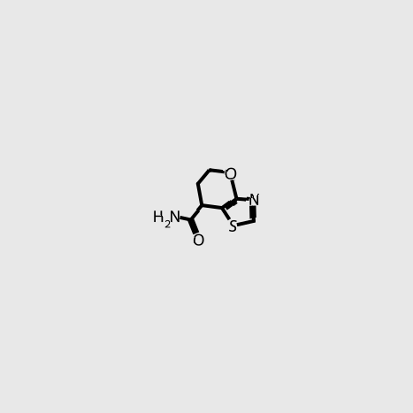 NC(=O)C1CCOc2ncsc21